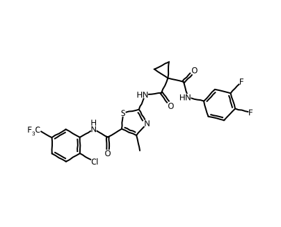 Cc1nc(NC(=O)C2(C(=O)Nc3ccc(F)c(F)c3)CC2)sc1C(=O)Nc1cc(C(F)(F)F)ccc1Cl